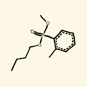 CCCCOP(=O)(OC)c1ccccc1C